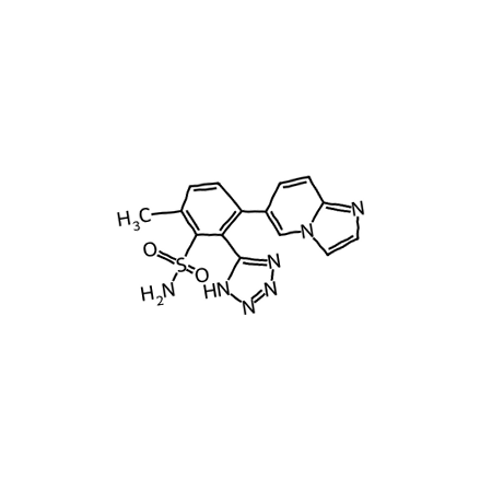 Cc1ccc(-c2ccc3nccn3c2)c(-c2nnn[nH]2)c1S(N)(=O)=O